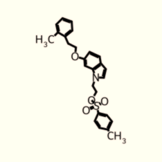 Cc1ccc(S(=O)(=O)OCCn2ccc3ccc(OCCc4ccccc4C)cc32)cc1